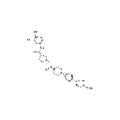 COc1ccc(-c2ccc(N3CCN(C(=O)CN4CC[C@@H](C(=O)Nc5ccc(O)c(Cl)c5)C4)CC3)cc2)cc1